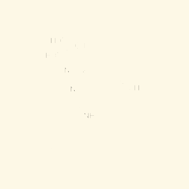 COc1ccc(C2c3[nH]c4c(c3CCN2c2nc(C(C)(C)C)cs2)=CC(Cl)CC=4)cc1